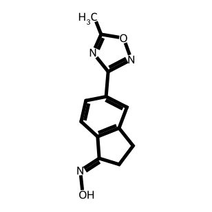 Cc1nc(-c2ccc3c(c2)CCC3=NO)no1